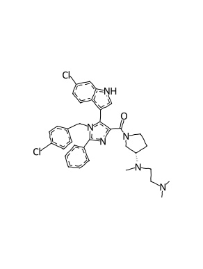 CN(C)CCN(C)[C@H]1CCN(C(=O)c2nc(-c3ccccc3)n(Cc3ccc(Cl)cc3)c2-c2c[nH]c3cc(Cl)ccc23)C1